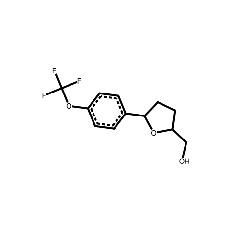 OCC1CCC(c2ccc(OC(F)(F)F)cc2)O1